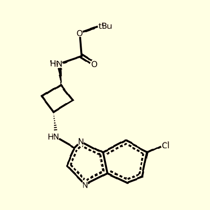 CC(C)(C)OC(=O)N[C@H]1C[C@H](Nc2cnc3ccc(Cl)cc3n2)C1